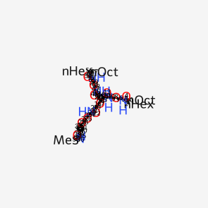 CCCCCCCCC(CCCCCC)C(=O)NCCOCCNC(=O)c1cc(OCCCC(=O)NCCOCCOc2ccc(-c3nnc(SC)o3)cc2)cc(C(=O)NCCOCCNC(=O)C(CCCCCC)CCCCCCCC)c1